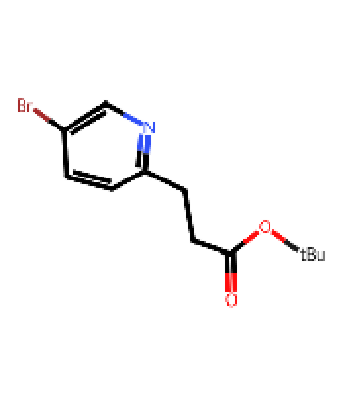 CC(C)(C)OC(=O)CCc1ccc(Br)cn1